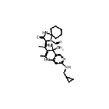 BC1(B)C(/C(C)=C2/C(=O)NC3(CCCCC3)N2C=O)=C(C)Nc2cc(NCC3CC3)ncc21